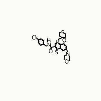 O=C(NCc1ccc(Cl)cc1)c1cn2c3c(cc(CN4CCOCC4)cc3c1=S)OC1(CCSCC1)C2